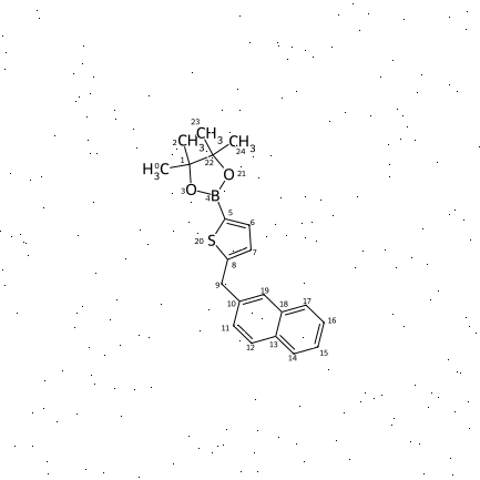 CC1(C)OB(c2ccc(Cc3ccc4ccccc4c3)s2)OC1(C)C